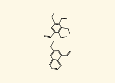 C=Cc1cc(CC)c(CC)c(CC)c1CC.C=Cc1cc(CC)cc2ccccc12